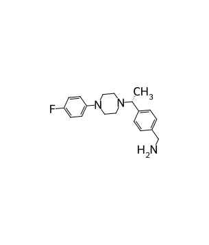 C[C@H](c1ccc(CN)cc1)N1CCN(c2ccc(F)cc2)CC1